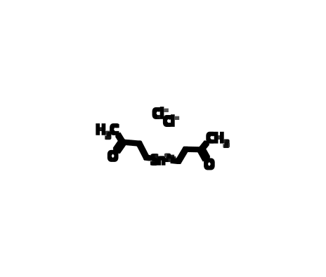 CC(=O)C[CH2][Sn+2][CH2]CC(C)=O.[Cl-].[Cl-]